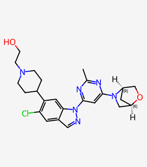 Cc1nc(N2C[C@H]3C[C@@H]2CO3)cc(-n2ncc3cc(Cl)c(C4CCN(CCO)CC4)cc32)n1